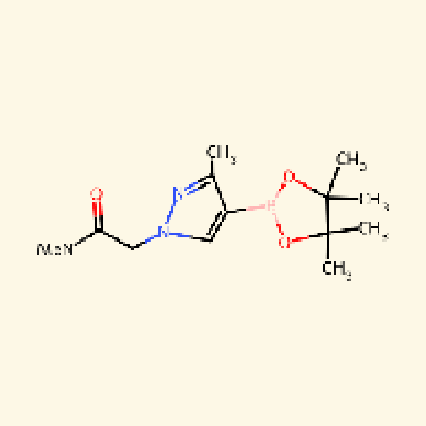 CNC(=O)Cn1cc(B2OC(C)(C)C(C)(C)O2)c(C)n1